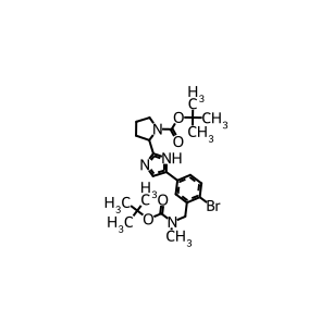 CN(Cc1cc(-c2cnc(C3CCCN3C(=O)OC(C)(C)C)[nH]2)ccc1Br)C(=O)OC(C)(C)C